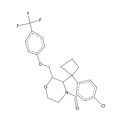 O=CN1CCOC(COc2ccc(C(F)(F)F)cc2)C1C1(c2ccc(Cl)cc2)CCC1